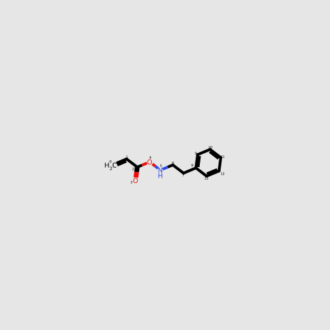 C=CC(=O)ONCCc1ccccc1